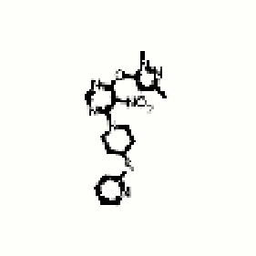 Cc1cc(Oc2ncnc(N3CCC(Sc4ccccn4)CC3)c2[N+](=O)[O-])n(C)n1